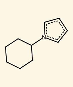 c1ccn(C2CCCCC2)c1